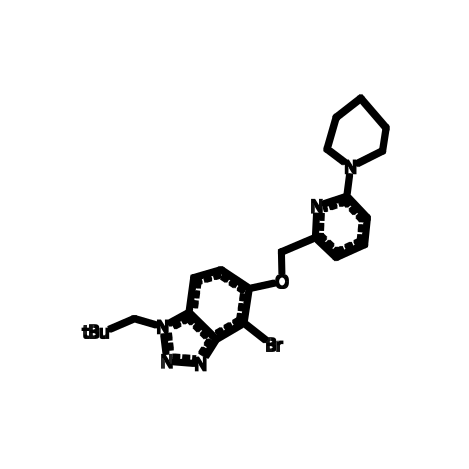 CC(C)(C)Cn1nnc2c(Br)c(OCc3cccc(N4CCCCC4)n3)ccc21